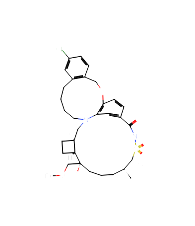 CCOC[C@@]1(O)CCC[C@H](C)[C@@H](C)S(=O)(=O)NC(=O)c2ccc3c(c2)N(CCCCc2cc(Cl)ccc2CO3)C[C@@H]2CC[C@H]21